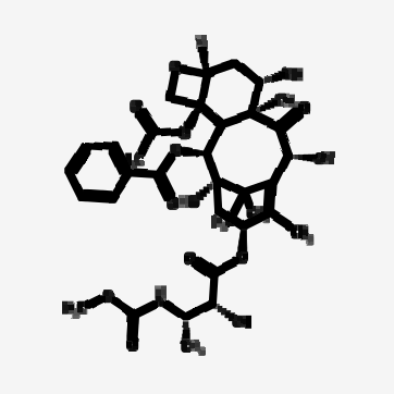 COC(=O)N[C@@H](C)[C@@H](O)C(=O)O[C@H]1C[C@@]2(O)[C@@H](OC(=O)c3ccccc3)C3[C@](C)(C(=O)[C@H](O)C(=C1C)C2(C)C)[C@@H](O)C[C@H]1OC[C@@]31OC(C)=O